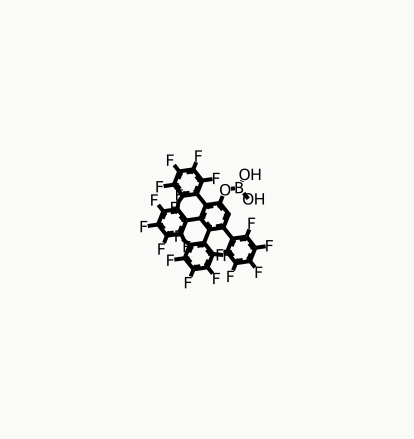 OB(O)Oc1cc(-c2c(F)c(F)c(F)c(F)c2F)c(-c2c(F)c(F)c(F)c(F)c2F)c(-c2c(F)c(F)c(F)c(F)c2F)c1-c1c(F)c(F)c(F)c(F)c1F